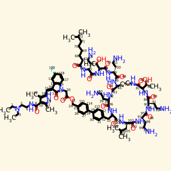 CCN(CC)CCNC(=O)c1c(C)[nH]c(/C=C2\C(=O)N(CC(=O)OCc3ccc(-c4ccc(CC5NC(=O)C(CCN)NC(=O)C(NC(=O)[C@@H](CCN)NC(=O)C(NC(=O)[C@@H](CCN)NC(=O)CCCCCC(C)C)[C@@H](C)O)CCNC(=O)[C@@H]([C@@H](C)O)NC(=O)[C@@H](CCN)NC(=O)[C@@H](CCN)NC(=O)[C@@H](CC(C)C)NC5=O)cc4)cc3)c3ccc(F)cc32)c1C